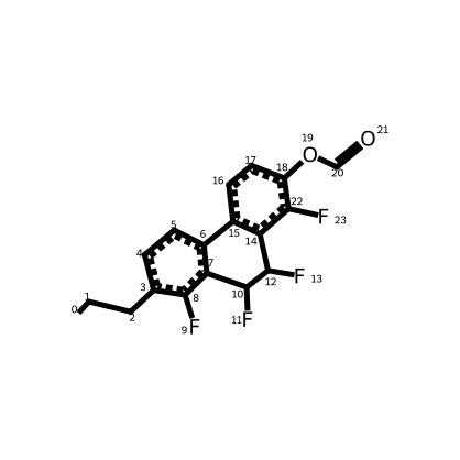 CCCc1ccc2c(c1F)C(F)C(F)c1c-2ccc(OC=O)c1F